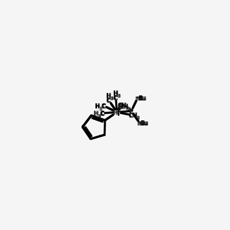 CCCC[P](CCCC)[Hf]([CH3])([CH3])([CH3])([CH3])([CH3])([CH3])([CH3])[C]1=CC=CC1